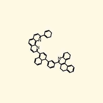 C1=CC2=C(c3ccc4ccc5ccc(C6=CCCC=C6)nc5c4n3)C=CC(c3cccc(-c4nc5c(c6c4CCc4ccccc4-6)=CCCC=5)c3)C2C=C1